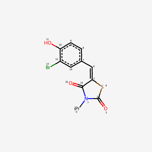 CC(C)N1C(=O)SC(=Cc2ccc(O)c(Br)c2)C1=O